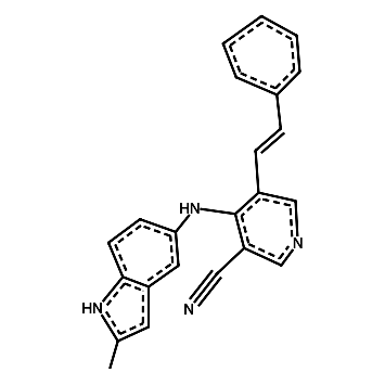 Cc1cc2cc(Nc3c(C#N)cncc3C=Cc3ccccc3)ccc2[nH]1